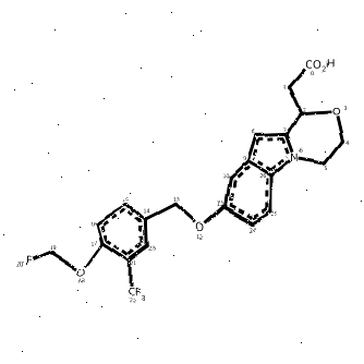 O=C(O)CC1OCCn2c1cc1cc(OCc3ccc(OCF)c(C(F)(F)F)c3)ccc12